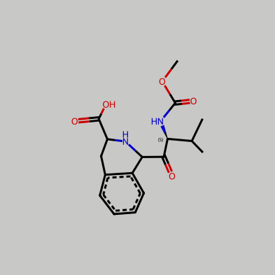 COC(=O)N[C@H](C(=O)C1NC(C(=O)O)Cc2ccccc21)C(C)C